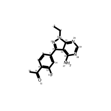 [CH2]Cn1nc(-c2ccc(C(C)=O)c(F)c2)c2c(N)ncnc21